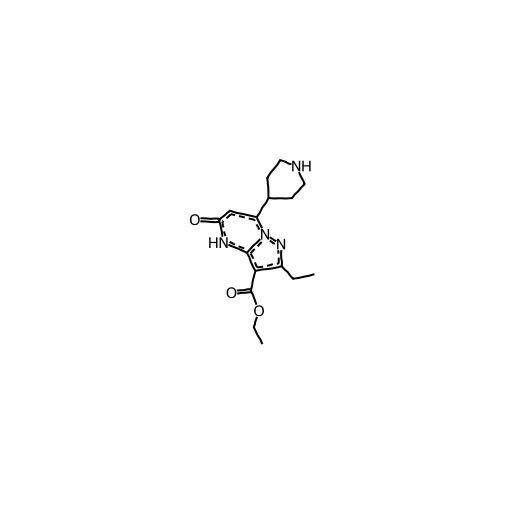 CCOC(=O)c1c(CC)nn2c(C3CCNCC3)cc(=O)[nH]c12